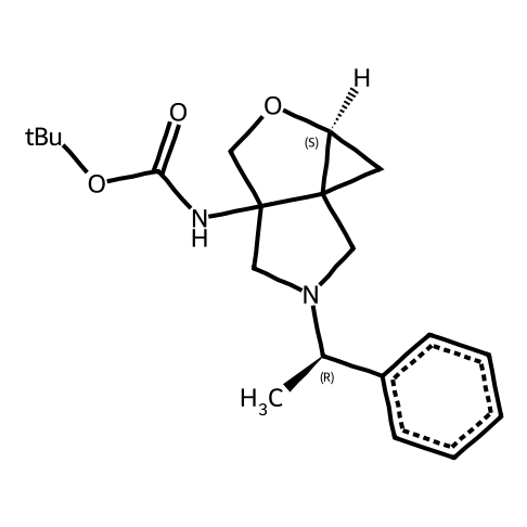 C[C@H](c1ccccc1)N1CC2(NC(=O)OC(C)(C)C)CO[C@H]3CC32C1